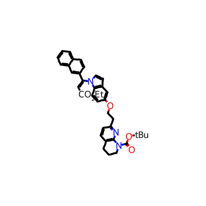 CCOC(=O)C=C(c1ccc2ccccc2c1)n1ccc2cc(OCCc3ccc4c(n3)N(C(=O)OC(C)(C)C)CCC4)ccc21